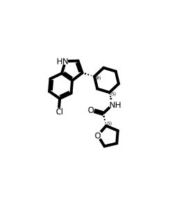 O=C(N[C@H]1CCC[C@@H](c2c[nH]c3ccc(Cl)cc23)C1)[C@@H]1CCCO1